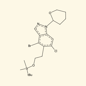 CC(C)(C)[Si](C)(C)OCCc1c(Cl)cc2c(cnn2C2CCCCO2)c1Br